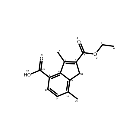 CCOC(=O)C1=C(C)c2c(C(=O)O)ccc(C)c2C1